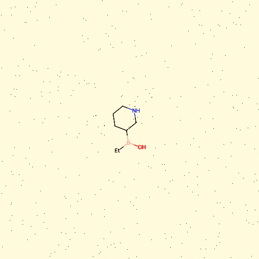 CCB(O)C1CCCNC1